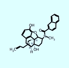 C=CCN1CC[C@]23c4c5ccc(O)c4OC2C(N(C)C(=O)c2ccc4ccccc4c2)CC[C@@]3(O)[C@H]1C5